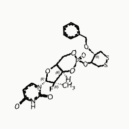 C[C@@]1(F)[C@@H]2OP(=O)(OC3CSSC[C@@H]3OCc3ccccc3)OCC2O[C@H]1n1ccc(=O)[nH]c1=O